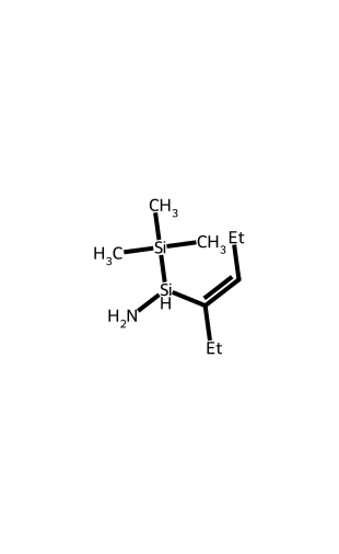 CCC=C(CC)[SiH](N)[Si](C)(C)C